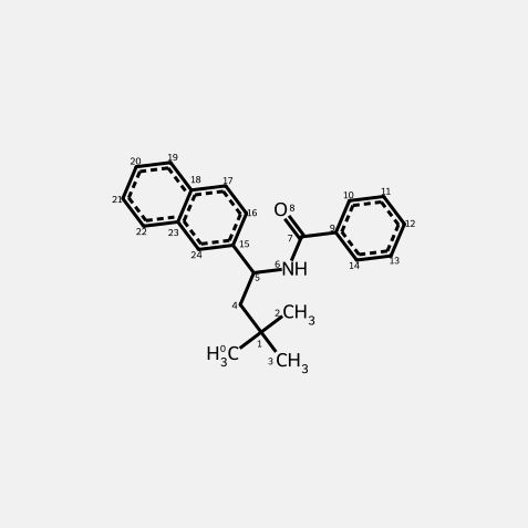 CC(C)(C)CC(NC(=O)c1ccccc1)c1ccc2ccccc2c1